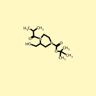 CC(C)C(=O)N1CCN(C(=O)OC(C)(C)C)CC1CO